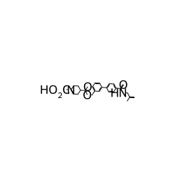 C=C(C)CNC(=O)c1ccc(-c2ccc3c(c2)COC(C2CCN(C(=O)O)CC2)O3)cc1